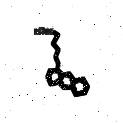 [CH2]CCCCCCCCCCCCCCc1cccc2cc3ccccc3cc12